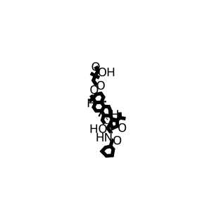 CC(C)C1=C2[C@H]3CCC4[C@@]5(C)CC[C@H](OC(=O)CC(C)(C)C(=O)O)C(C)(C)[C@H]5CC[C@@]4(C)[C@]3(C)CC[C@@]2([C@H](O)CNC(=O)C2CCCCC2)CC1=O